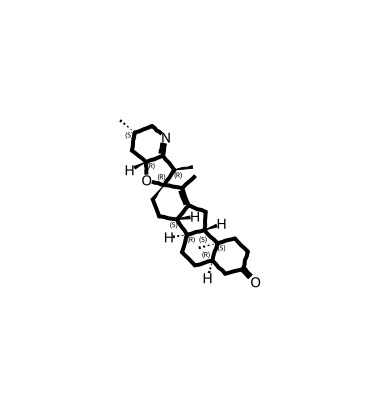 CC1=C2C[C@H]3[C@@H](CC[C@@H]4CC(=O)CC[C@@]43C)[C@@H]2CC[C@]12O[C@@H]1C[C@H](C)CN=C1[C@H]2C